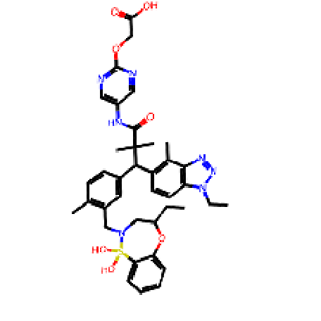 CCC1CN(Cc2cc(C(c3ccc4c(nnn4CC)c3C)C(C)(C)C(=O)Nc3cnc(OCC(=O)O)nc3)ccc2C)S(O)(O)c2ccccc2O1